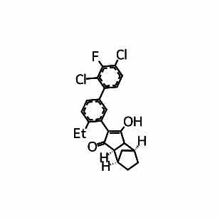 CCc1ccc(-c2ccc(Cl)c(F)c2Cl)cc1C1=C(O)C2[C@H]3CC[C@H](C3)[C@H]2C1=O